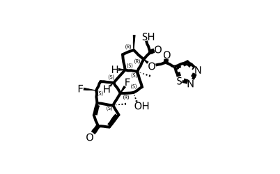 C[C@@H]1C[C@H]2[C@@H]3C[C@H](F)C4=CC(=O)C=C[C@]4(C)[C@@]3(F)[C@@H](O)C[C@]2(C)[C@@]1(OC(=O)c1cnns1)C(=O)S